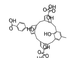 Cc1cc2c(O)c(c1)Cc1cc(S(=O)(=O)O)cc(c1O)Cc1cc(-c3ccc(C(=O)O)cc3)cc(c1O)Cc1cc(S(=O)(=O)O)cc(c1O)C2